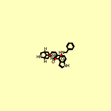 O=C(NCc1ccccc1)c1ccc(C2[C@@H]3CN[C@H]2C[C@@H](NC(=O)c2cccc4[nH]ccc24)C3)nc1